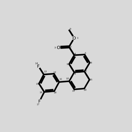 COC(=O)c1ccc2c(c1)C(c1cc(F)cc(F)c1)=CCC2